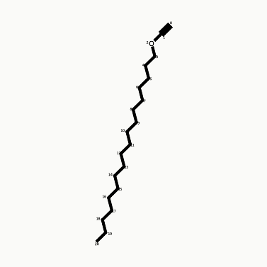 C#COCCCCCCCCCCCCCCCCCC